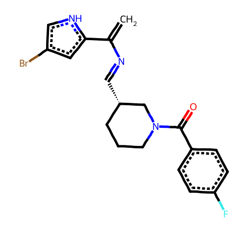 C=C(/N=C/[C@H]1CCCN(C(=O)c2ccc(F)cc2)C1)c1cc(Br)c[nH]1